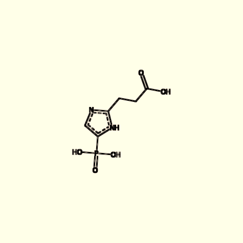 O=C(O)CCc1ncc(P(=O)(O)O)[nH]1